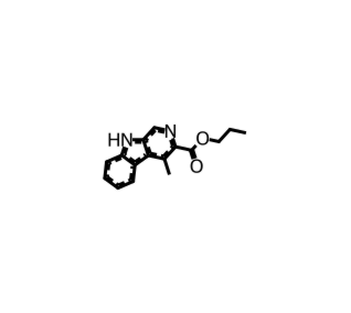 CCCOC(=O)c1ncc2[nH]c3ccccc3c2c1C